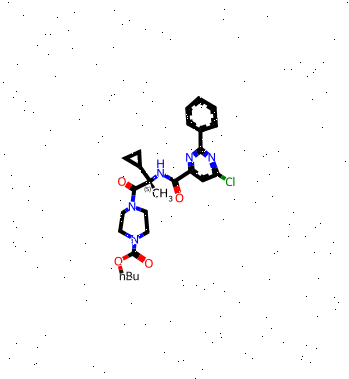 CCCCOC(=O)N1CCN(C(=O)[C@@](C)(NC(=O)c2cc(Cl)nc(-c3ccccc3)n2)C2CC2)CC1